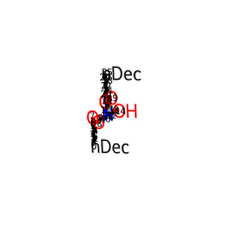 CCCCCCCCCCCCCCCC(=O)OCCN(CCO)CCOC(=O)CCCCCCCCCCCCCCC